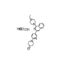 CCN1CCN(c2nc(-c3ccc(N4CC[S+]([O-])CC4)nc3)cc3ccccc23)CC1.Cl.Cl.Cl